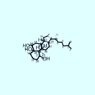 CC(C)CCC[C@@H](C)[C@H]1CC[C@H]2[C@@H]3C[C@@H](O)[C@@]4(O)CCCC(O)[C@]4(C)[C@H]3CC[C@]12C